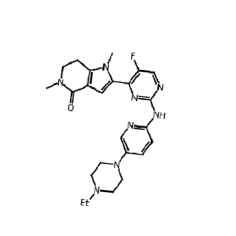 CCN1CCN(c2ccc(Nc3ncc(F)c(-c4cc5c(n4C)CCN(C)C5=O)n3)nc2)CC1